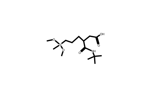 CO[Si](C)(CCCC(CC(=O)O)C(=O)NC(C)(C)C)OC